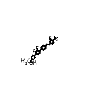 CC(O)C1CCC(c2ccc(-c3ccc(CCc4ccc(C5CO5)c(F)c4)cc3)c(F)c2F)CC1